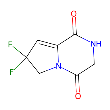 O=C1NCC(=O)N2CC(F)(F)C=C12